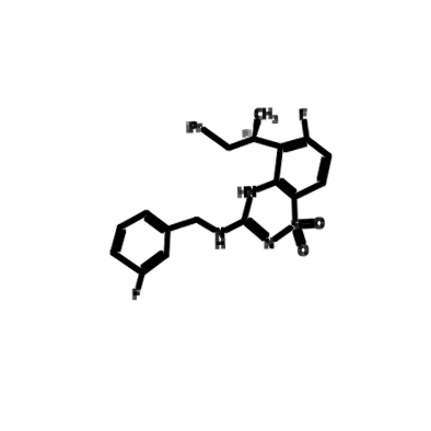 CC(C)C[C@@H](C)c1c(F)ccc2c1NC(NCc1cccc(F)c1)=NS2(=O)=O